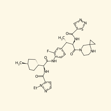 CCn1nccc1C(=O)N[C@H](C(=O)Nc1ccc([C@H](C)[C@@H](NC(=O)c2cnns2)C(=O)N2CCNC3(CC3)C2)cc1F)[C@H]1CC[C@H](C)CC1